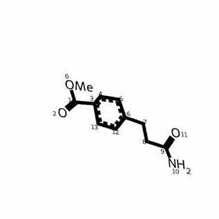 COC(=O)c1ccc(CCC(N)=O)cc1